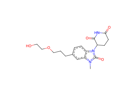 Cn1c(=O)n(C2CCC(=O)NC2=O)c2ccc(CCCOCCO)cc21